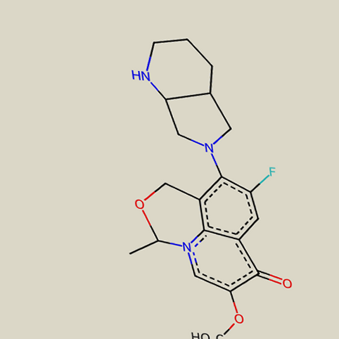 CC1OCc2c(N3CC4CCCNC4C3)c(F)cc3c(=O)c(OC(=O)O)cn1c23